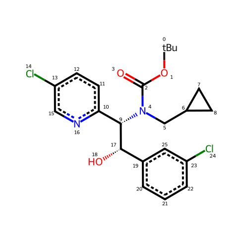 CC(C)(C)OC(=O)N(CC1CC1)[C@@H](c1ccc(Cl)cn1)[C@@H](O)c1cccc(Cl)c1